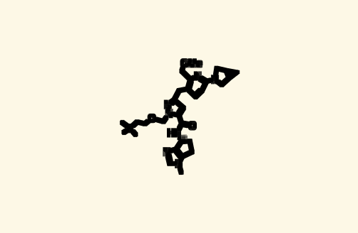 COCc1nc(N2CC3CC3C2)ccc1Cc1cc(C(=O)N[C@@H]2CCc3c2ncn3C)n(COCCS(C)(C)C)n1